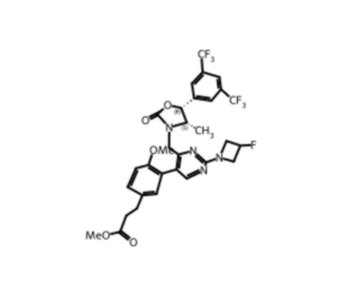 COC(=O)CCc1ccc(OC)c(-c2cnc(N3CC(F)C3)nc2CN2C(=O)O[C@H](c3cc(C(F)(F)F)cc(C(F)(F)F)c3)[C@@H]2C)c1